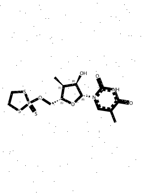 Cc1cn([C@@H]2O[C@H](COP3(=S)SCCS3)[C@@H](C)[C@H]2O)c(=O)[nH]c1=O